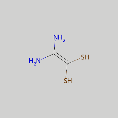 NC(N)=C(S)S